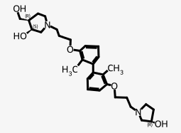 Cc1c(OCCCN2CC[C@@H](O)C2)cccc1-c1cccc(OCCCN2CC[C@H](CO)[C@H](O)C2)c1C